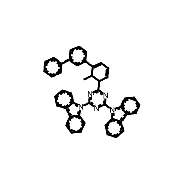 CC1C(c2cccc(-c3ccccc3)c2)=CC=CC1c1nc(-n2c3ccccc3c3ccccc32)nc(-n2c3ccccc3c3ccccc32)n1